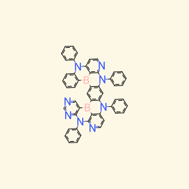 c1ccc(N2c3ccccc3B3c4cc5c(cc4N(c4ccccc4)c4nccc2c43)N(c2ccccc2)c2ccnc3c2B5c2cncnc2N3c2ccccc2)cc1